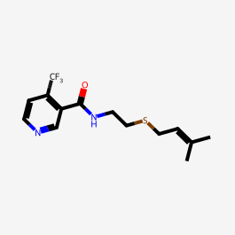 CC(C)=CCSCCNC(=O)c1cnccc1C(F)(F)F